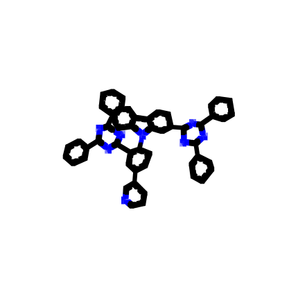 c1ccc(-c2nc(-c3ccccc3)nc(-c3ccc4c5ccccc5n(-c5ccc(-c6cccnc6)cc5-c5nc(-c6ccccc6)nc(-c6ccccc6)n5)c4c3)n2)cc1